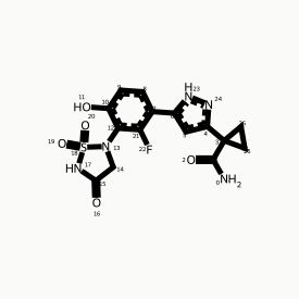 NC(=O)C1(c2cc(-c3ccc(O)c(N4CC(=O)NS4(=O)=O)c3F)[nH]n2)CC1